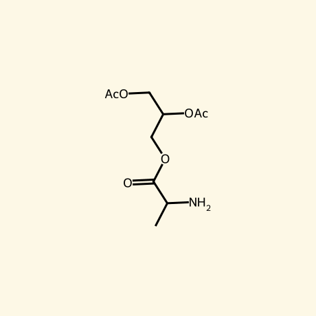 CC(=O)OCC(COC(=O)C(C)N)OC(C)=O